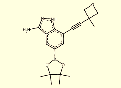 CC1(C#Cc2cc(B3OC(C)(C)C(C)(C)O3)cc3c(N)n[nH]c23)COC1